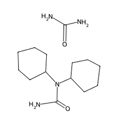 NC(=O)N(C1CCCCC1)C1CCCCC1.NC(N)=O